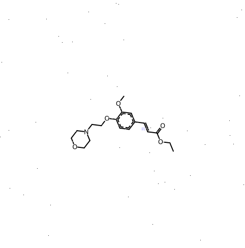 CCOC(=O)/C=C/c1ccc(OCCN2CCOCC2)c(OC)c1